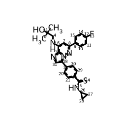 CC(C)(O)CNc1cc(-c2ccc(F)cc2)nn2c(-c3ccc(C(=S)NC4CC4)cc3)cnc12